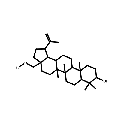 C=C(C)C1CCC2(COCC)CCC3(C)C(CCC4C5(C)CCC(O)C(C)(C)C5CCC43C)C12